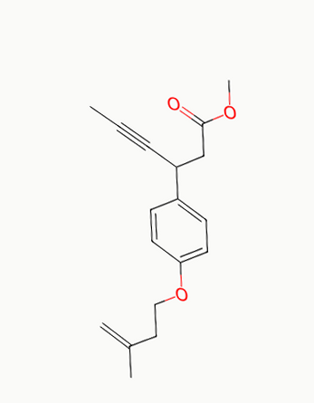 C=C(C)CCOc1ccc(C(C#CC)CC(=O)OC)cc1